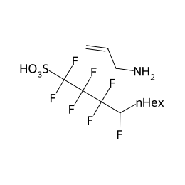 C=CCN.CCCCCCC(F)C(F)(F)C(F)(F)C(F)(F)S(=O)(=O)O